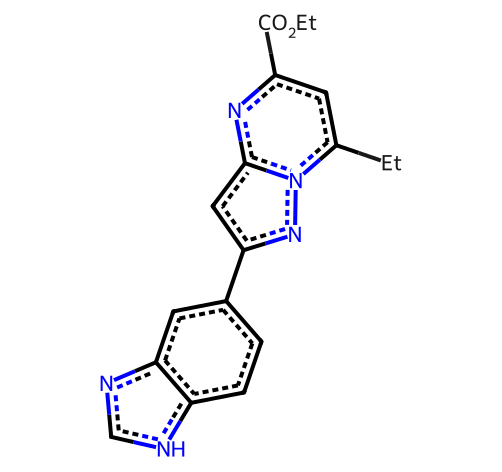 CCOC(=O)c1cc(CC)n2nc(-c3ccc4[nH]cnc4c3)cc2n1